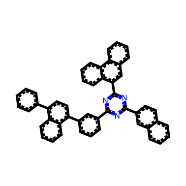 c1ccc(-c2ccc(-c3cccc(-c4nc(-c5ccc6ccccc6c5)nc(-c5cc6ccccc6c6ccccc56)n4)c3)c3ccccc23)cc1